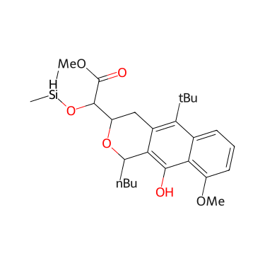 CCCCC1OC(C(O[SiH](C)C)C(=O)OC)Cc2c1c(O)c1c(OC)cccc1c2C(C)(C)C